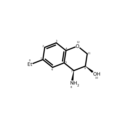 CCc1ccc2c(c1)[C@H](N)[C@H](O)CO2